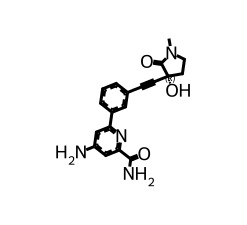 CN1CC[C@@](O)(C#Cc2cccc(-c3cc(N)cc(C(N)=O)n3)c2)C1=O